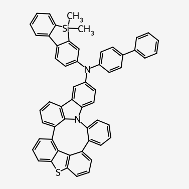 C[Si]1(C)c2ccccc2-c2ccc(N(c3ccc(-c4ccccc4)cc3)c3ccc4c(c3)c3cccc5c6cccc7sc8cccc(c9ccccc9n4c53)c8c76)cc21